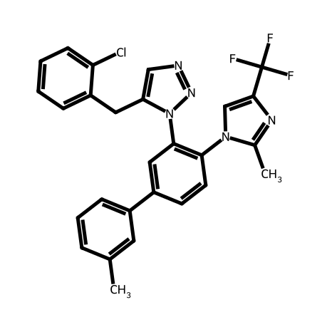 Cc1cccc(-c2ccc(-n3cc(C(F)(F)F)nc3C)c(-n3nncc3Cc3ccccc3Cl)c2)c1